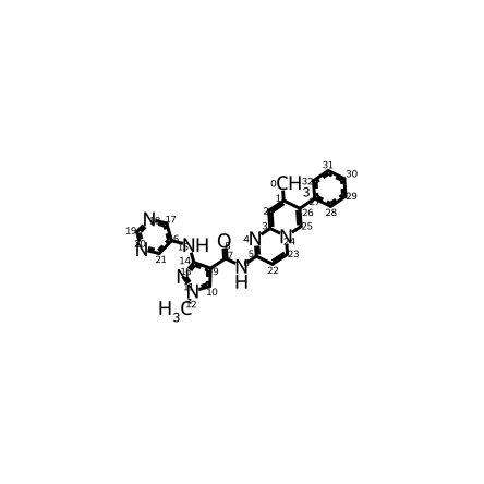 CC1=C=C2N=C(NC(=O)c3cn(C)nc3Nc3cncnc3)C=CN2C=C1c1ccccc1